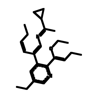 CC\C=C/C(=C\N=C(/C)C1CC1)c1cc(CC)cnc1/C(=C/CC)OCC